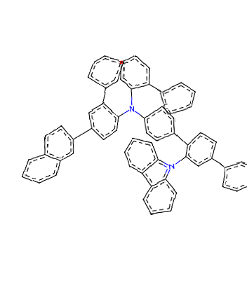 c1ccc(-c2ccc(-c3ccc(N(c4ccccc4-c4ccccc4)c4ccc(-c5ccc6ccccc6c5)cc4-c4ccccc4)cc3)c(-n3c4ccccc4c4ccccc43)c2)cc1